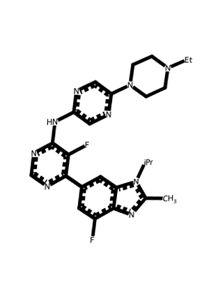 CCN1CCN(c2cnc(Nc3ncnc(-c4cc(F)c5nc(C)n(C(C)C)c5c4)c3F)cn2)CC1